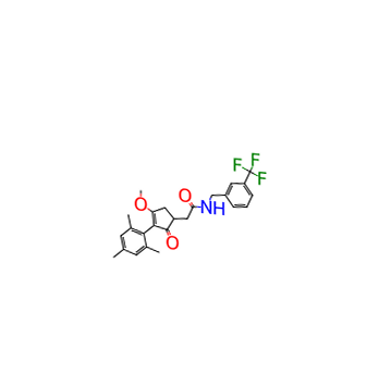 COC1=C(c2c(C)cc(C)cc2C)C(=O)C(CC(=O)NCc2cccc(C(F)(F)F)c2)C1